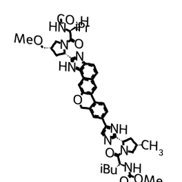 CC[C@@H](C)[C@H](NC(=O)OC)C(=O)N1C[C@@H](C)C[C@H]1c1ncc(-c2ccc3c(c2)COc2cc4c(ccc5nc([C@@H]6C[C@H](COC)CN6C(=O)[C@@H](NC(=O)O)C(C)C)[nH]c54)cc2-3)[nH]1